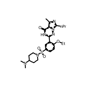 CCCc1nc(C)c2c(=O)[nH]c(-c3cc(S(=O)(=O)N4CCC(N(C)C)CC4)ccc3OCC)nn12